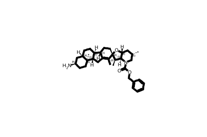 CC1=C2C[C@H]3[C@@H](CC[C@@H]4C[C@H](N)CC[C@@]43C)[C@@H]2CC[C@]12O[C@@H]1C[C@H](C)CN(C(=O)OCc3ccccc3)[C@H]1[C@H]2C